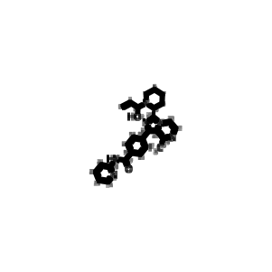 C=CC(O)N1CCCC[C@H]1c1nc(-c2ccc(C(=O)Nc3ccccn3)cc2)c2c(C(F)(F)F)nccn12